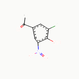 CC(=O)c1cc(Cl)c(O)c([N+](=O)[O-])c1